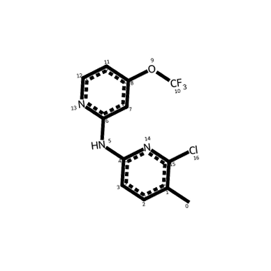 Cc1ccc(Nc2cc(OC(F)(F)F)ccn2)nc1Cl